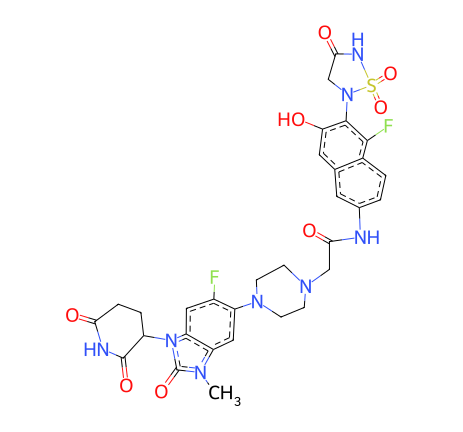 Cn1c(=O)n(C2CCC(=O)NC2=O)c2cc(F)c(N3CCN(CC(=O)Nc4ccc5c(F)c(N6CC(=O)NS6(=O)=O)c(O)cc5c4)CC3)cc21